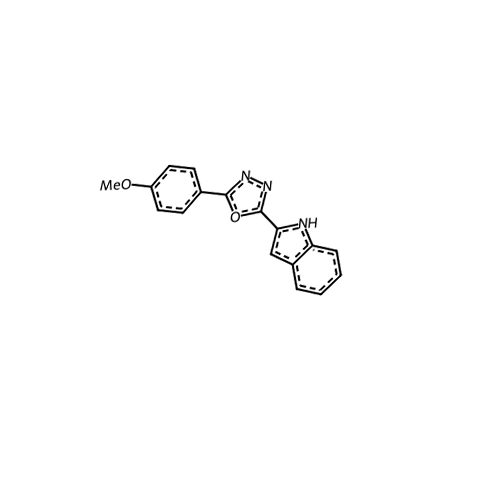 COc1ccc(-c2nnc(-c3cc4ccccc4[nH]3)o2)cc1